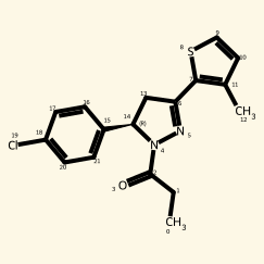 CCC(=O)N1N=C(c2sccc2C)C[C@@H]1c1ccc(Cl)cc1